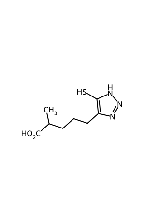 CC(CCCc1nn[nH]c1S)C(=O)O